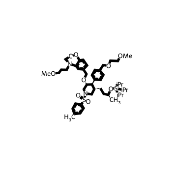 COCCCN1CCOc2ccc(CO[C@H]3CN(S(=O)(=O)c4ccc(C)cc4)C[C@@H](CC[C@@H](C)O[Si](C(C)C)(C(C)C)C(C)C)[C@@H]3c3ccc(COCCOC)cc3)cc21